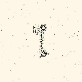 CC1CN(CCCCCCCC=CC[SiH2]c2ccccc2C(F)(F)F)CC(C)O1